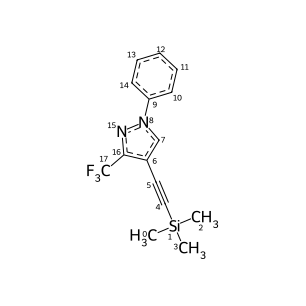 C[Si](C)(C)C#Cc1cn(-c2ccccc2)nc1C(F)(F)F